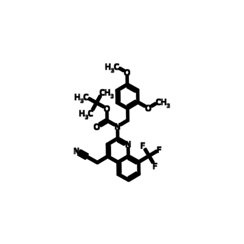 COc1ccc(CN(C(=O)OC(C)(C)C)c2cc(CC#N)c3cccc(C(F)(F)F)c3n2)c(OC)c1